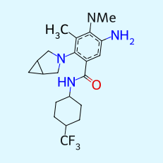 CNc1c(N)cc(C(=O)NC2CCC(C(F)(F)F)CC2)c(N2CC3CC3C2)c1C